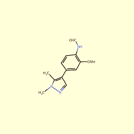 COc1cc(-c2cnn(C)c2C)ccc1NC=O